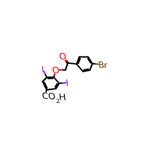 O=C(O)c1cc(I)c(OCC(=O)c2ccc(Br)cc2)c(I)c1